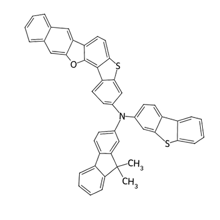 CC1(C)c2ccccc2-c2ccc(N(c3ccc4c(c3)sc3ccccc34)c3ccc4c(c3)sc3ccc5c6cc7ccccc7cc6oc5c34)cc21